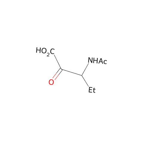 CCC(NC(C)=O)C(=O)C(=O)O